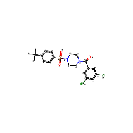 CC(C)(C)c1ccc(S(=O)(=O)N2CCN(C(=O)c3cc(Cl)cc(Cl)c3)CC2)cc1